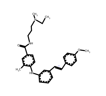 CCN(C)CCCNC(=O)c1ccc(Nc2cccc(/C=C/c3ccc(OC)cc3)c2)c(C)c1